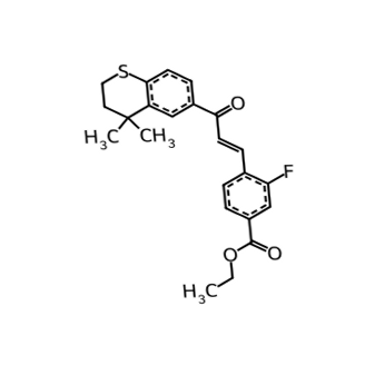 CCOC(=O)c1ccc(C=CC(=O)c2ccc3c(c2)C(C)(C)CCS3)c(F)c1